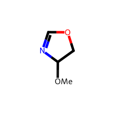 COC1COC=N1